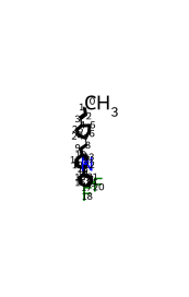 CC/C=C/[C@H]1CC[C@H](CCc2ccc(-c3ccc(F)c(F)c3)nc2)CC1